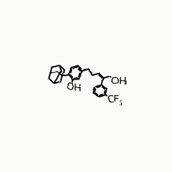 OCC(=CCCc1ccc(C23CC4CC(CC(C4)C2)C3)c(O)c1)c1cccc(C(F)(F)F)c1